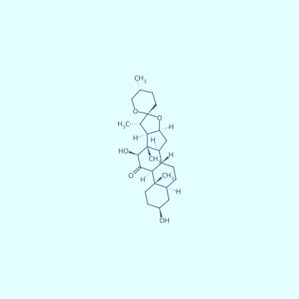 C[C@@H]1CC[C@@]2(OC1)O[C@H]1C[C@H]3[C@@H]4CC[C@H]5C[C@@H](O)CC[C@]5(C)[C@H]4C(=O)[C@@H](O)[C@]3(C)[C@H]1[C@@H]2C